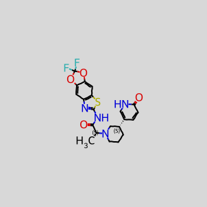 C[C@@H](C(=O)Nc1nc2cc3c(cc2s1)OC(F)(F)O3)N1CCC[C@@H](c2ccc(=O)[nH]c2)C1